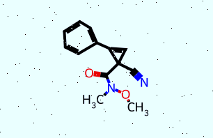 CON(C)C(=O)C1(C#N)C=C1c1ccccc1